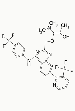 CC(O)C(OCc1nc(Nc2ccc(C(F)(F)F)cc2)c2ccc(-c3ncccc3C(F)(F)F)cc2n1)N(C)C